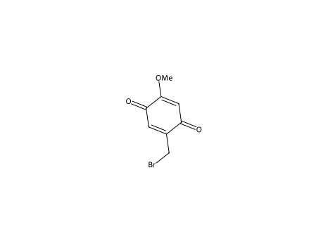 COC1=CC(=O)C(CBr)=CC1=O